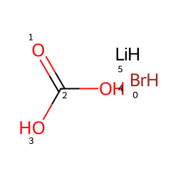 Br.O=C(O)O.[LiH]